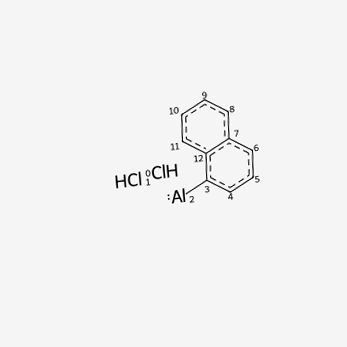 Cl.Cl.[Al][c]1cccc2ccccc12